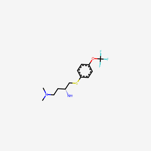 CN(C)CC[C@@H]([NH])CSc1ccc(OC(F)(F)F)cc1